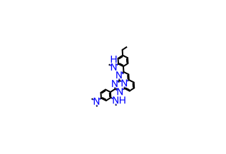 CCc1ccc(C2=NC3=NC(c4ccc(N(C)C)cc4NC)=NC4=CC=CC(=C2)N43)c(NC)c1